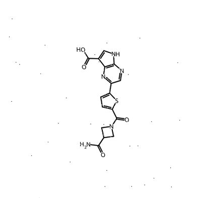 NC(=O)C1CN(C(=O)c2ccc(-c3cnc4[nH]cc(C(=O)O)c4n3)s2)C1